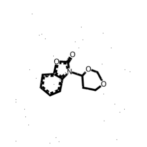 O=c1oc2ccccc2n1C1CCOCO1